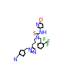 COc1ccc(NC(=S)N(CCCc2cncn2Cc2ccc(C#N)cc2)Cc2ccccc2C(F)(F)F)cn1